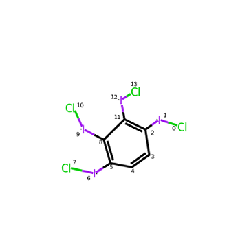 Cl[I]c1ccc([I]Cl)c([I]Cl)c1[I]Cl